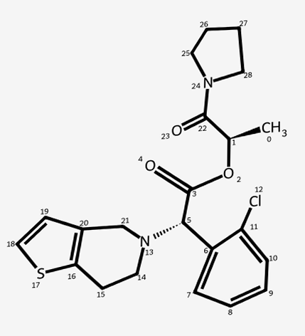 C[C@@H](OC(=O)[C@H](c1ccccc1Cl)N1CCc2sccc2C1)C(=O)N1CCCC1